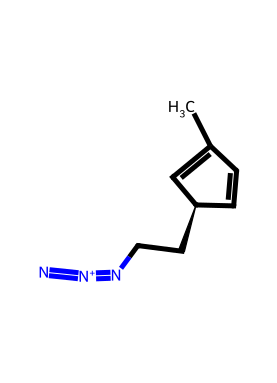 CC1=C[C@H](CCN=[N+]=[N-])C=C1